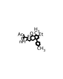 CCCC(CC1CC(=O)c2c(C)c(CC)cc(-c3ccc(C)cc3)c2C1)C(CC)C(=O)CC(C)=O